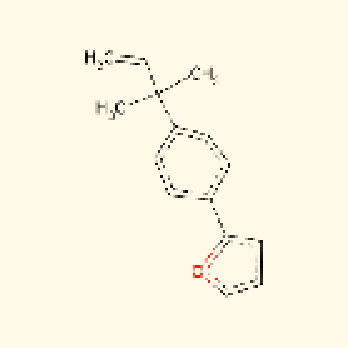 C=CC(C)(C)c1ccc(-c2ccco2)cc1